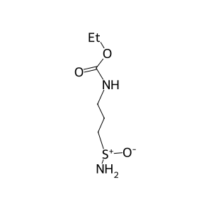 CCOC(=O)NCCC[S+](N)[O-]